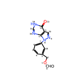 O=COCc1cccc(-n2ncc3c(=O)[nH]cnc32)c1